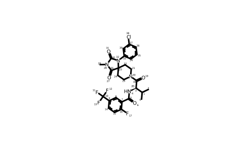 CC(C)[C@@H](NC(=O)c1cc(C(F)(F)F)ccc1F)C(=O)N1CCC2(CC1)C(=O)N(C)C(=O)N2c1cccc(Cl)c1